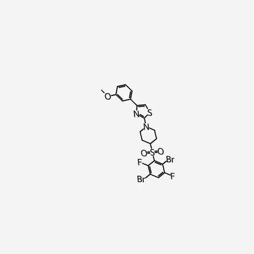 COc1cccc(-c2csc(N3CCC(S(=O)(=O)c4c(F)c(Br)cc(F)c4Br)CC3)n2)c1